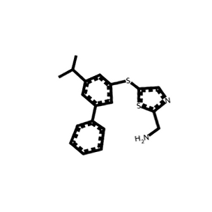 CC(C)c1cc(Sc2cnc(CN)s2)cc(-c2ccccc2)c1